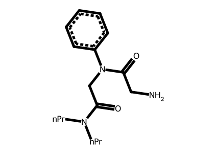 CCCN(CCC)C(=O)CN(C(=O)CN)c1ccccc1